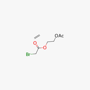 C=C.CC(=O)OCCOC(=O)CBr